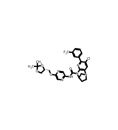 CC1(C)OC[C@@H](COc2cnc(NC(=O)N3c4nc(-c5cccc(C(F)(F)F)c5)c(Cl)cc4N4CCC3C4)cn2)O1